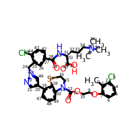 Cc1c(Cl)cccc1OCCOC(=O)N1CCSc2c(-c3cnn(Cc4cc(C(=O)N[C@@H](CCC[N+](C)(C)C)C(=O)O)ccc4Cl)c3)cccc21